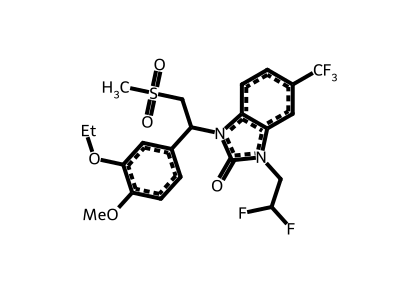 CCOc1cc(C(CS(C)(=O)=O)n2c(=O)n(CC(F)F)c3cc(C(F)(F)F)ccc32)ccc1OC